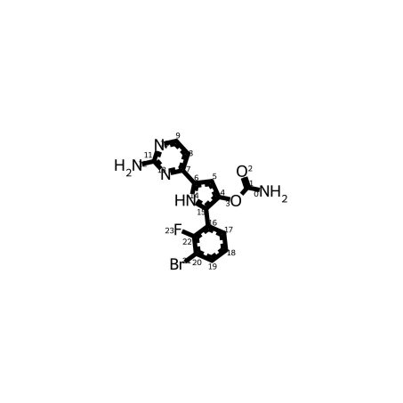 NC(=O)Oc1cc(-c2ccnc(N)n2)[nH]c1-c1cccc(Br)c1F